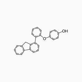 Oc1ccc(Oc2ccccc2-c2cccc3c2Cc2ccccc2-3)cc1